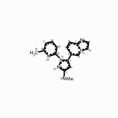 CNc1cc(-c2ccc3nccn3c2)n(-c2cccc(C)n2)n1